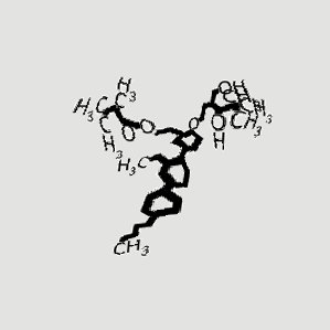 CCCCCc1ccc(-c2ccc(-c3ccc(OCCC(CO)C(O)C(C)(C)C)c(CCOC4OC4C(C)C(C)C)c3)c(CC)c2)cc1